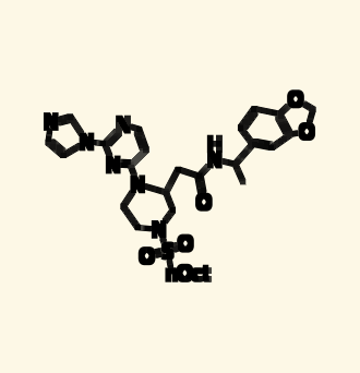 CCCCCCCCS(=O)(=O)N1CCN(c2ccnc(-n3ccnc3)n2)C(CC(=O)NC(C)c2ccc3c(c2)OCO3)C1